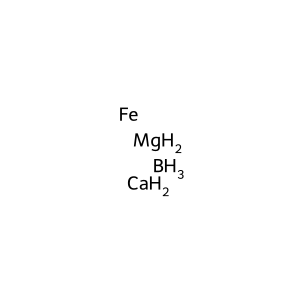 B.[CaH2].[Fe].[MgH2]